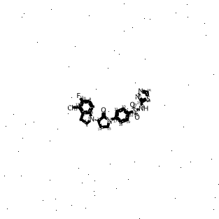 O=C1[C@@H](N2CCc3c2ccc(F)c3Cl)CCN1c1ccc(S(=O)(=O)Nc2nncs2)cc1